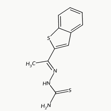 CC(=NNC(N)=S)c1cc2ccccc2s1